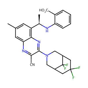 Cc1cc([C@@H](C)Nc2ccccc2C(=O)O)c2nc(N3CC4CC(F)(F)CC(C3)C4(F)F)c(C#N)nc2c1